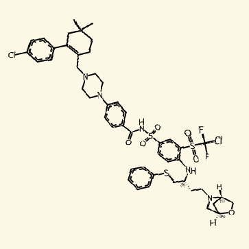 CC1(C)CCC(CN2CCN(c3ccc(C(=O)NS(=O)(=O)c4ccc(N[C@H](CCN5C[C@H]6C[C@H]5CO6)CSc5ccccc5)c(S(=O)(=O)C(F)(F)Cl)c4)cc3)CC2)=C(c2ccc(Cl)cc2)C1